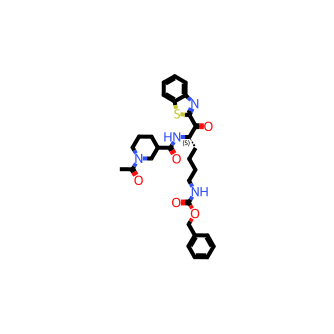 CC(=O)N1CCCC(C(=O)N[C@@H](CCCCNC(=O)OCc2ccccc2)C(=O)c2nc3ccccc3s2)C1